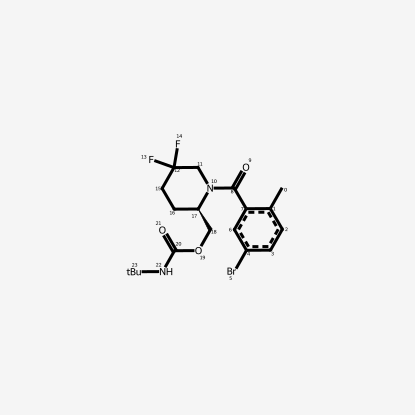 Cc1ccc(Br)cc1C(=O)N1CC(F)(F)CC[C@@H]1COC(=O)NC(C)(C)C